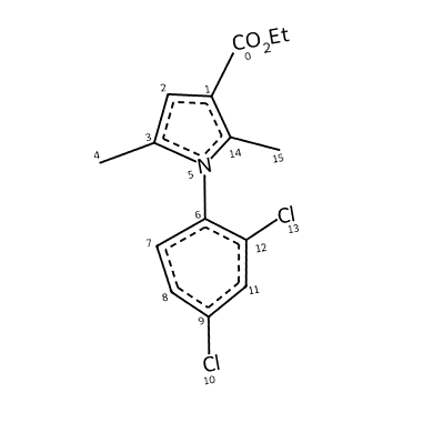 CCOC(=O)c1cc(C)n(-c2ccc(Cl)cc2Cl)c1C